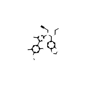 C#CCN(c1nc(-c2cc(C)c(OC)cc2Cl)c(C)s1)[C@@H](CCC)c1ccc2c(c1)OCO2